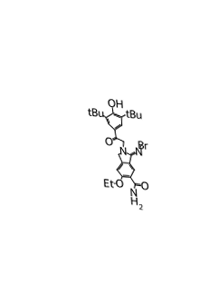 CCOc1cc2c(cc1C(N)=O)/C(=N/Br)N(CC(=O)c1cc(C(C)(C)C)c(O)c(C(C)(C)C)c1)C2